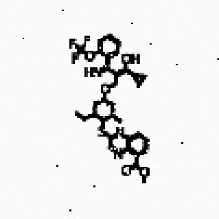 CCC1CC(OC/C(C(=N)c2ccccc2OC(F)(F)F)=C(/O)C2CC2)CC(C)C1Sc1cnc2c(C(=O)OC)cccc2n1